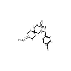 O=C(O)N1CCC2(CC1)CN(Cc1ccc(F)cc1)S(=O)(=O)CO2